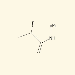 C=C(NCCC)C(C)F